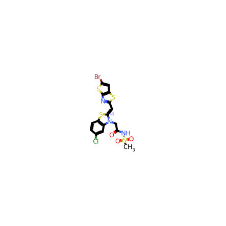 CS(=O)(=O)NC(=O)CN1/C(=C/c2nc3sc(Br)cc3s2)Sc2ccc(Cl)cc21